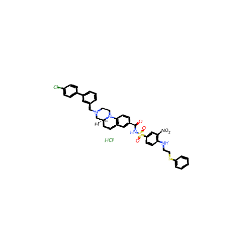 Cl.O=C(NS(=O)(=O)c1ccc(NCCSc2ccccc2)c([N+](=O)[O-])c1)c1ccc2c(c1)CC[C@H]1CN(Cc3cccc(-c4ccc(Cl)cc4)c3)CCN21